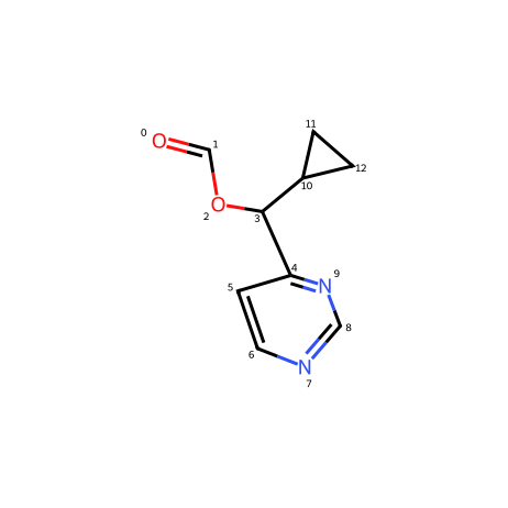 O=COC(c1ccncn1)C1CC1